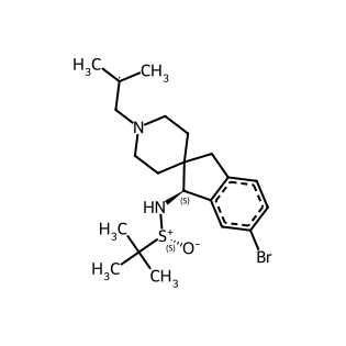 C[C](C)CN1CCC2(CC1)Cc1ccc(Br)cc1[C@H]2N[S@+]([O-])C(C)(C)C